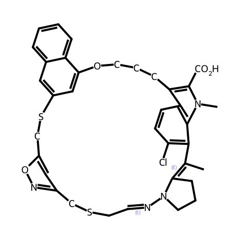 C/C1=C2/CCCN2/N=C/CSCc2cc(on2)CSc2cc(c3ccccc3c2)OCCCc2c(C(=O)O)n(C)c3c1c(Cl)ccc23